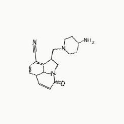 N#CC1=C2C(CN3CCC(N)CC3)CN3C(=O)C=CC(C=C1)C23